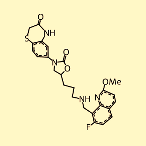 COc1ccc2ccc(F)c(CNCCCC3CN(c4ccc5c(c4)NC(=O)CS5)C(=O)O3)c2n1